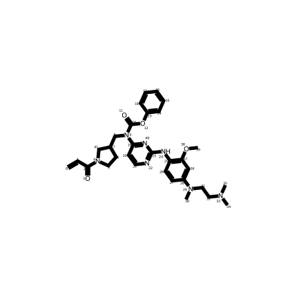 C=CC(=O)N1CCC(CN(C(=O)Oc2ccccc2)c2ccnc(Nc3ccc(N(C)CCN(C)C)cc3OC)n2)C1